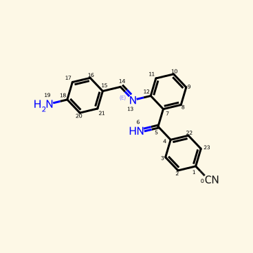 N#Cc1ccc(C(=N)c2ccccc2/N=C/c2ccc(N)cc2)cc1